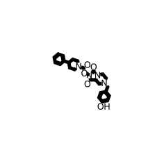 O=C(ON1C(=O)C2CN(Cc3ccc(O)cc3)CCN2C1=O)N1CCC(c2ccccc2)CC1